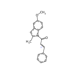 COc1ccc2c([c]c(C)n2C(=O)/C=C/c2ccccc2)c1